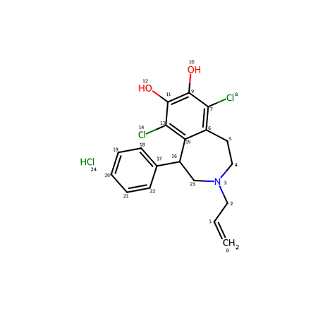 C=CCN1CCc2c(Cl)c(O)c(O)c(Cl)c2C(c2ccccc2)C1.Cl